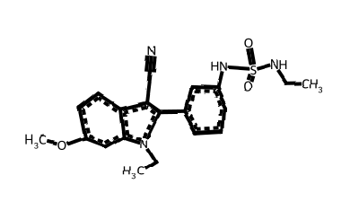 CCNS(=O)(=O)Nc1cccc(-c2c(C#N)c3ccc(OC)cc3n2CC)c1